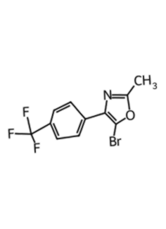 Cc1nc(-c2ccc(C(F)(F)F)cc2)c(Br)o1